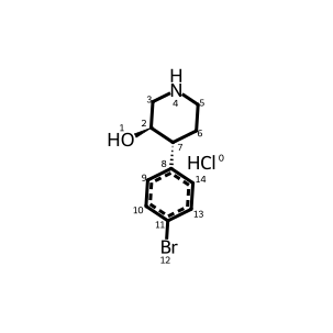 Cl.O[C@H]1CNCC[C@@H]1c1ccc(Br)cc1